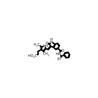 CCC(NC(=O)c1ccc2c(c1)/C(=C/c1[nH]c(C)c(CCC(=O)O)c1C)C(=O)N2)c1ccccc1